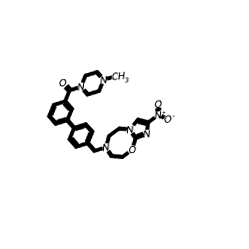 CN1CCN(C(=O)c2cccc(-c3ccc(CN4CCOc5nc([N+](=O)[O-])cn5CC4)cc3)c2)CC1